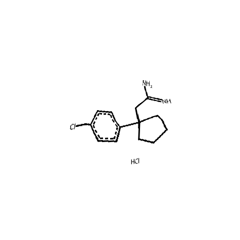 Cl.N=C(N)CC1(c2ccc(Cl)cc2)CCCC1